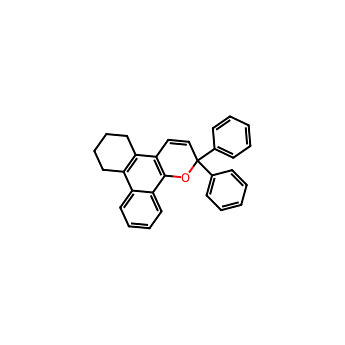 C1=CC(c2ccccc2)(c2ccccc2)Oc2c1c1c(c3ccccc23)CCCC1